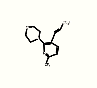 O=C(O)C=Cc1ccc(C(F)(F)F)nc1N1CCOCC1